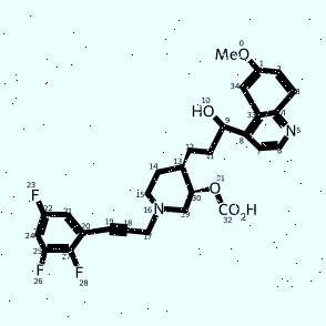 COc1ccc2nccc(C(O)CC[C@@H]3CCN(CC#Cc4cc(F)cc(F)c4F)C[C@@H]3OC(=O)O)c2c1